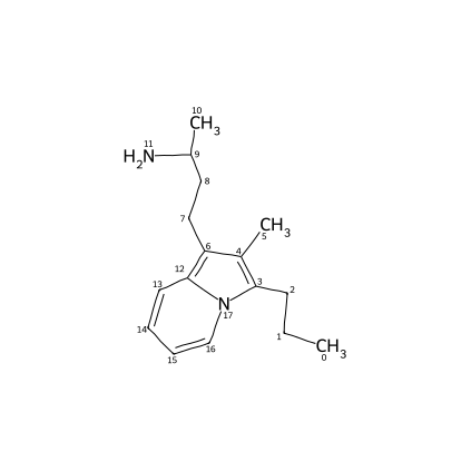 CCCc1c(C)c(CCC(C)N)c2ccccn12